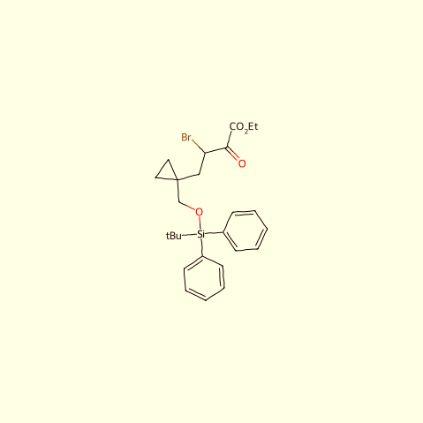 CCOC(=O)C(=O)C(Br)CC1(CO[Si](c2ccccc2)(c2ccccc2)C(C)(C)C)CC1